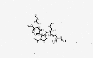 CC[C@@H]1CCN(C[C@@H](NC[C@@H](N)CS)[C@@H](C)CC)[C@@H]1C(=O)N[C@@H](CCSC)C(=O)OC